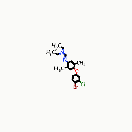 CCN(C=Nc1cc(C)c(Oc2ccc(Br)c(Cl)c2)cc1C)CC